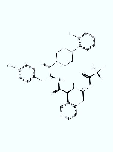 O=C(N[C@H](Cc1ccc(Cl)cc1)C(=O)N1CCC(c2ccccc2F)CC1)C1N[C@@H](OC(=O)C(F)(F)F)Cc2ccccc21